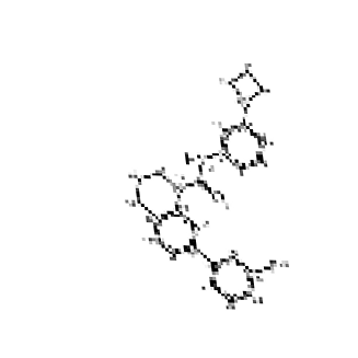 O=C(Nc1ccnc(N2CCC2)c1)N1CCCc2ccc(-c3cccc(F)c3)nc21